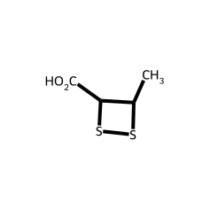 CC1SSC1C(=O)O